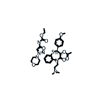 CCOC(=O)[N-]c1c[n+](N2CCOCC2)no1.COc1ccc([C@@H]2Sc3ccccc3N(CCN(C)C)C(=O)[C@@H]2OC(C)=O)cc1